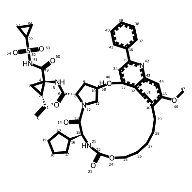 C=C[C@@H]1C[C@]1(NC(=O)[C@@H]1C[C@@H]2CN1C(=O)[C@H](C1CCCC1)NC(=O)OCCCCCc1cc3c(cc(-c4ccccc4)nc3cc1OC)O2)C(=O)NS(=O)(=O)C1CC1